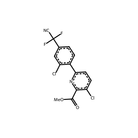 COC(=O)c1nc(-c2ccc(C(F)(F)C#N)cc2Cl)ccc1Cl